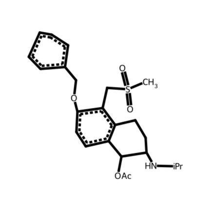 CC(=O)OC1c2ccc(OCc3ccccc3)c(CS(C)(=O)=O)c2CCC1NC(C)C